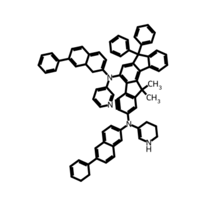 CC1(C)c2cc(N(C3=CNCCC3)c3ccc4cc(C5=CC=CCC5)ccc4c3)c#cc2-c2c(N(C3=CC=C4C=CC(c5ccccc5)=CC4C3)c3cccnc3)cc3c(c21)-c1ccccc1C3(c1ccccc1)c1ccccc1